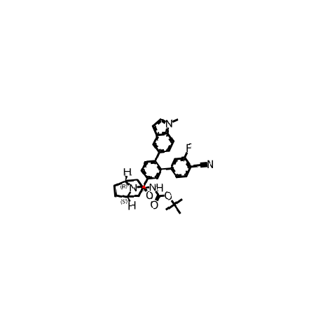 Cn1ccc2cc(-c3ccc(C(=O)N4[C@@H]5CC[C@H]4C[C@H](NC(=O)OC(C)(C)C)C5)cc3-c3ccc(C#N)c(F)c3)ccc21